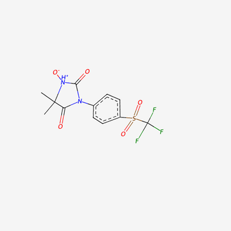 CC1(C)C(=O)N(c2ccc(S(=O)(=O)C(F)(F)F)cc2)C(=O)[NH+]1[O-]